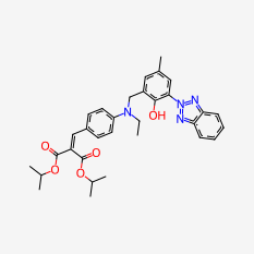 CCN(Cc1cc(C)cc(-n2nc3ccccc3n2)c1O)c1ccc(C=C(C(=O)OC(C)C)C(=O)OC(C)C)cc1